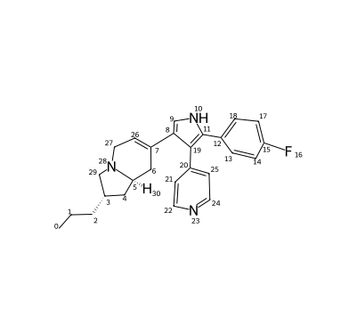 CCC[C@H]1C[C@@H]2CC(c3c[nH]c(-c4ccc(F)cc4)c3-c3ccncc3)=CCN2C1